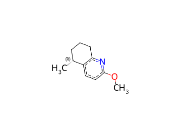 COc1ccc2c(n1)CCC[C@H]2C